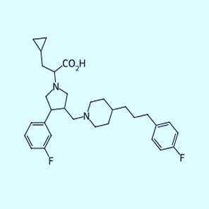 O=C(O)C(CC1CC1)N1CC(CN2CCC(CCCc3ccc(F)cc3)CC2)C(c2cccc(F)c2)C1